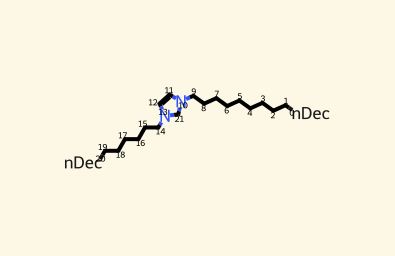 CCCCCCCCCCCCCCCCCCCN1C=CN(CCCCCCCCCCCCCCCC)C1